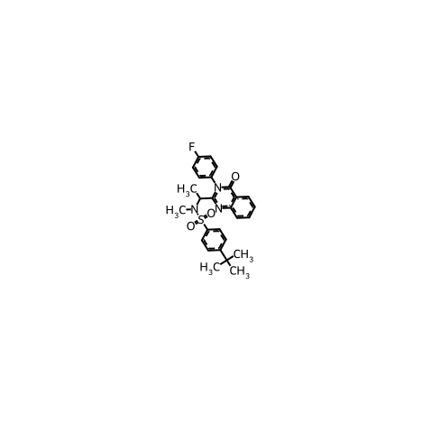 CC(c1nc2ccccc2c(=O)n1-c1ccc(F)cc1)N(C)S(=O)(=O)c1ccc(C(C)(C)C)cc1